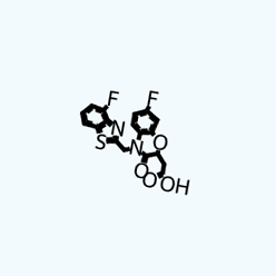 O=C(O)CC1Oc2cc(F)ccc2N(Cc2nc3c(F)cccc3s2)C1=O